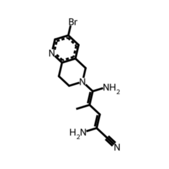 CC(/C=C(\N)C#N)=C(/N)N1CCc2ncc(Br)cc2C1